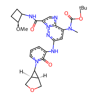 CO[C@H]1CCC1NC(=O)c1cnc2c(N(C)C(=O)OC(C)(C)C)cc(Nc3cccn(C4[C@H]5COC[C@@H]45)c3=O)nn12